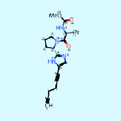 C#CCCC#Cc1cnc([C@@H]2CCCN2C(=O)[C@@H](NC(=O)OC)C(C)C)[nH]1